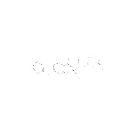 O=C(NC1CCS(=O)(=O)C1)c1c(O)c2ncc(Cc3ccc(F)cc3)cc2[nH]c1=O